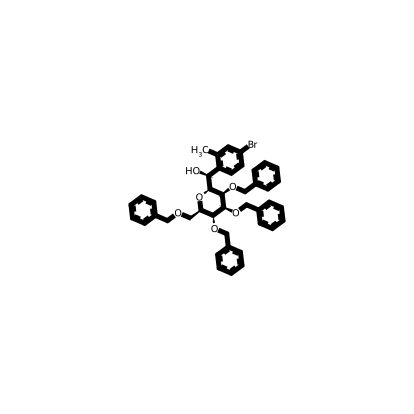 Cc1cc(Br)ccc1[C@H](O)[C@H]1O[C@H](COCc2ccccc2)[C@@H](OCc2ccccc2)[C@H](OCc2ccccc2)[C@@H]1OCc1ccccc1